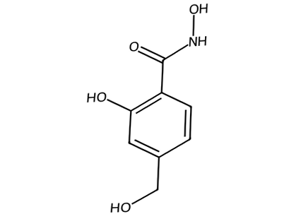 O=C(NO)c1ccc(CO)cc1O